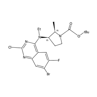 CCN(c1nc(Cl)nc2cc(Br)c(F)cc12)[C@@H]1CCN(C(=O)OC(C)(C)C)[C@@H]1C